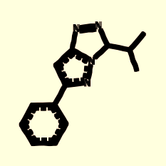 CC(C)C1N=Nc2cc(-c3ccccc3)nn21